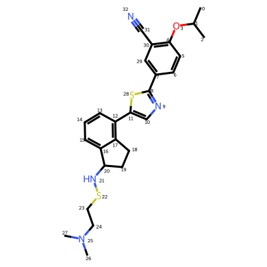 CC(C)Oc1ccc(-c2ncc(-c3cccc4c3CCC4NSCCN(C)C)s2)cc1C#N